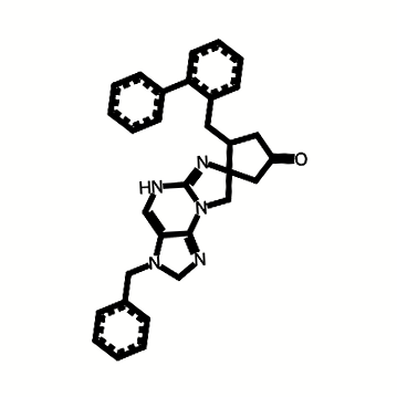 O=C1CC(Cc2ccccc2-c2ccccc2)C2(C1)CN1C(=N2)NC=C2C1=NCN2Cc1ccccc1